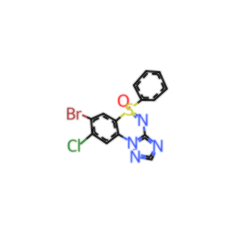 O=S1(c2ccccc2)=Nc2ncnn2-c2cc(Cl)c(Br)cc21